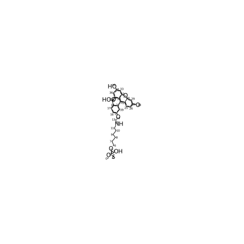 COP(O)(=S)OCCCCCCNCOc1ccc(C(=O)O)c(-c2c3ccc(=O)cc-3oc3cc(O)ccc23)c1